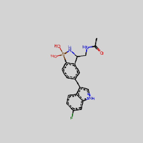 CC(=O)NCC1NS(O)(O)c2ccc(-c3c[nH]c4cc(F)ccc34)cc21